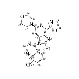 CCc1nc2c(-c3ncco3)cc(N3CCOCC3)cc2n1-c1ccnc2c(Cl)cccc12